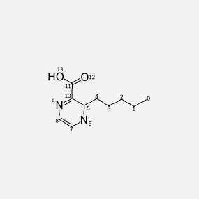 CCCCCc1nccnc1C(=O)O